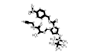 CC(SC[C@@H]1C[C@H](O[Si](C)(C)C(C)(C)C)CN1C(=O)OCc1ccc([N+](=O)[O-])cc1)C(=O)NCC#N